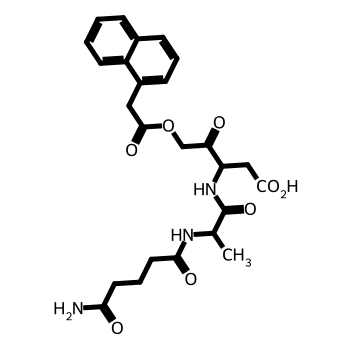 CC(NC(=O)CCCC(N)=O)C(=O)NC(CC(=O)O)C(=O)COC(=O)Cc1cccc2ccccc12